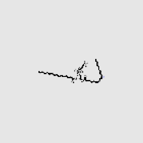 CCCCCCCC/C=C\C/C=C\CCCCC(=O)O[C@H](COC(=O)CCCCCCCCCCCCCCC)COP(=O)([O-])OCC[N+](C)(C)C